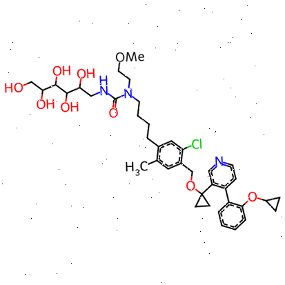 COCCN(CCCCc1cc(Cl)c(COC2(c3cnccc3-c3ccccc3OC3CC3)CC2)cc1C)C(=O)NCC(O)C(O)C(O)C(O)CO